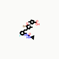 CC1=CC(CCc2ccc(F)cc2CNC(=O)NC2CC2)=C(Br)C(=O)B1c1cc(C(=O)O)ccc1C